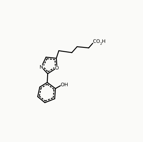 O=C(O)CCCCc1cnc(-c2ccccc2O)o1